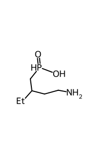 CCC(CCN)C[PH](=O)O